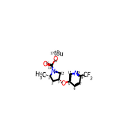 C[C@H]1C[C@@H](Oc2ccc(C(F)(F)F)nc2)CN1C(=O)OC(C)(C)C